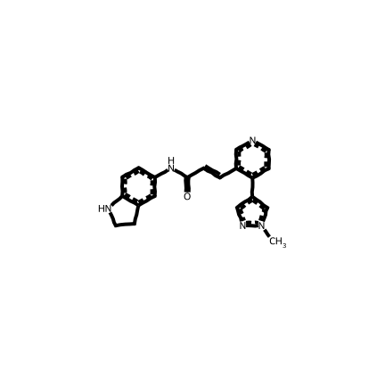 Cn1cc(-c2ccncc2C=CC(=O)Nc2ccc3c(c2)CCN3)cn1